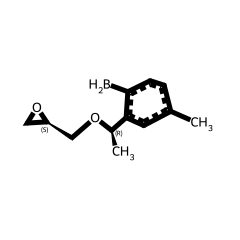 Bc1ccc(C)cc1[C@@H](C)OC[C@H]1CO1